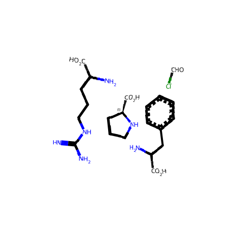 N=C(N)NCCCC(N)C(=O)O.NC(Cc1ccccc1)C(=O)O.O=C(O)[C@@H]1CCCN1.O=CCl